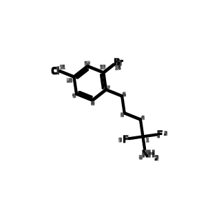 NC(F)(F)CCCc1ccc(Cl)cc1Br